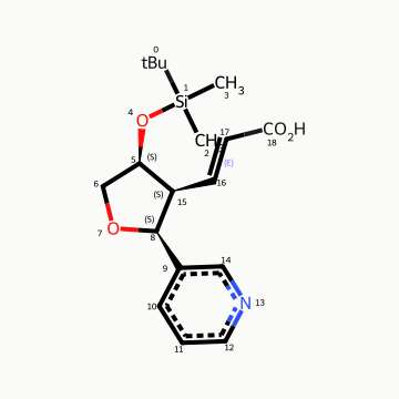 CC(C)(C)[Si](C)(C)O[C@@H]1CO[C@H](c2cccnc2)[C@@H]1/C=C/C(=O)O